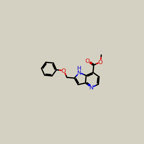 COC(=O)c1ccnc2cc(COc3ccccc3)[nH]c12